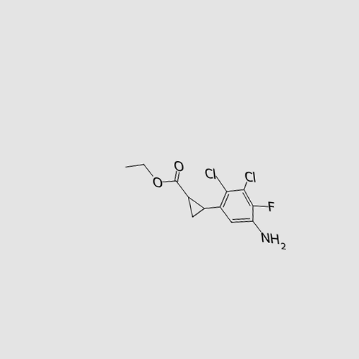 CCOC(=O)C1CC1c1cc(N)c(F)c(Cl)c1Cl